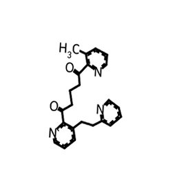 Cc1cccnc1C(=O)CCCC(=O)c1ncccc1CCc1ccccn1